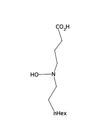 CCCCCCCCN(O)CCCC(=O)O